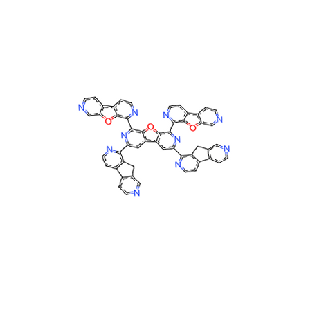 c1cc2c(cn1)Cc1c-2ccnc1-c1cc2c(oc3c(-c4nccc5c4oc4cnccc45)nc(-c4nccc5c4Cc4cnccc4-5)cc32)c(-c2nccc3c2oc2cnccc23)n1